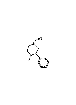 CN1CCN(C=O)CC1c1ccccc1